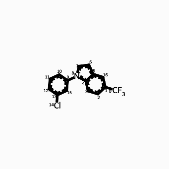 FC(F)(F)c1ccc2c(ccn2-c2cc[c]c(Cl)c2)c1